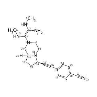 CN/C(N)=C(\NC)N1CCN2[C@@H](CC[C@@H]2C#Cc2ccc(C#N)cc2)C1